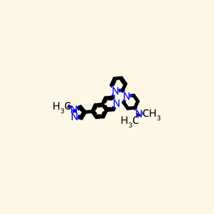 CN(C)C1CCN(C2C=CC=CN2c2cc3cc(-c4cnn(C)c4)ccc3cn2)CC1